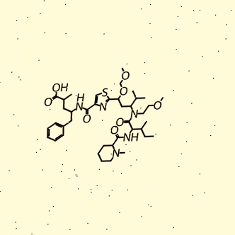 CCC(C)C(NC(=O)C1CCCCN1C)C(=O)N(CCOC)C(CC(OCOC)c1nc(C(=O)NC(Cc2ccccc2)CC(C)C(=O)O)cs1)C(C)C